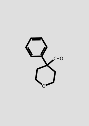 O=CC1(c2ccccc2)CCOCC1